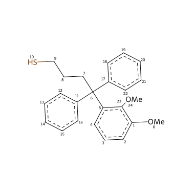 COc1cccc(C(CCCS)(c2ccccc2)c2ccccc2)c1OC